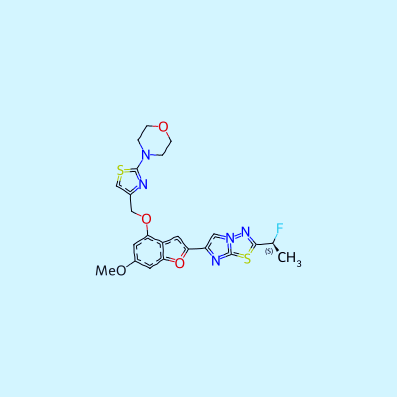 COc1cc(OCc2csc(N3CCOCC3)n2)c2cc(-c3cn4nc([C@H](C)F)sc4n3)oc2c1